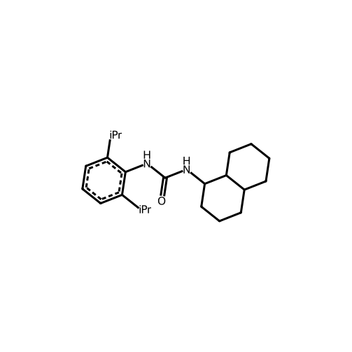 CC(C)c1cccc(C(C)C)c1NC(=O)NC1CCCC2CCCCC21